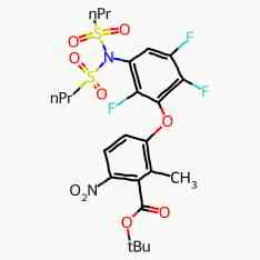 CCCS(=O)(=O)N(c1cc(F)c(F)c(Oc2ccc([N+](=O)[O-])c(C(=O)OC(C)(C)C)c2C)c1F)S(=O)(=O)CCC